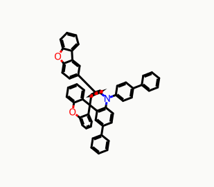 c1ccc(-c2ccc(N3c4ccc(-c5ccccc5)cc4C4(c5ccccc5Oc5ccccc54)c4cc(-c5ccc6oc7ccccc7c6c5)ccc43)cc2)cc1